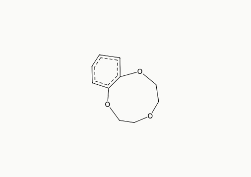 c1ccc2c(c1)OCCOCCO2